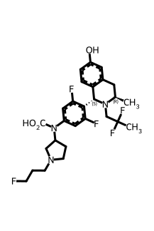 C[C@@H]1Cc2cc(O)ccc2[C@@H](c2c(F)cc(N(C(=O)O)C3CCN(CCCF)C3)cc2F)N1CC(C)(F)F